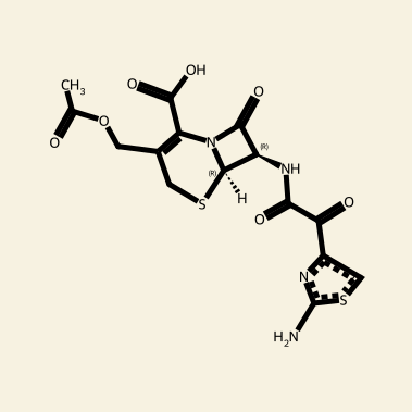 CC(=O)OCC1=C(C(=O)O)N2C(=O)[C@@H](NC(=O)C(=O)c3csc(N)n3)[C@H]2SC1